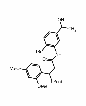 CCCCCC(CC(=O)Nc1cc(C(C)O)ccc1C(C)(C)C)c1ccc(OC)cc1OC